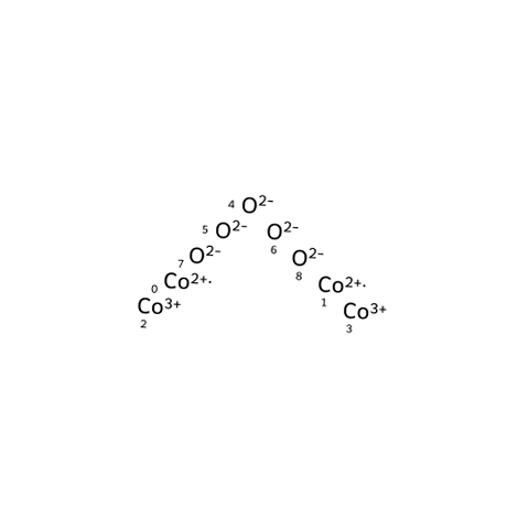 [Co+2].[Co+2].[Co+3].[Co+3].[O-2].[O-2].[O-2].[O-2].[O-2]